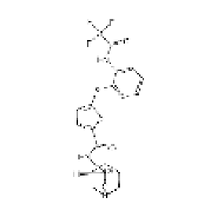 O=C(N[C@H]1CN2CCC1CC2)c1ccc(Sc2ccccc2NC(=O)C(F)(F)F)s1